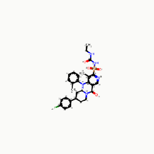 CCNC(=O)NS(=O)(=O)c1ncc(C(=O)N2CCC(c3ccc(F)cc3)CC2)c(Nc2ccccc2C)c1C